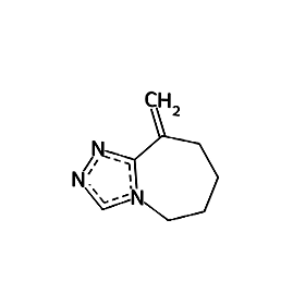 C=C1CCCCn2cnnc21